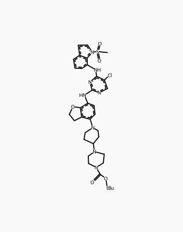 CC(C)(C)OC(=O)N1CCN(C2CCN(c3ccc(Nc4ncc(Cl)c(Nc5cccc6ccn(S(C)(=O)=O)c56)n4)c4c3CCO4)CC2)CC1